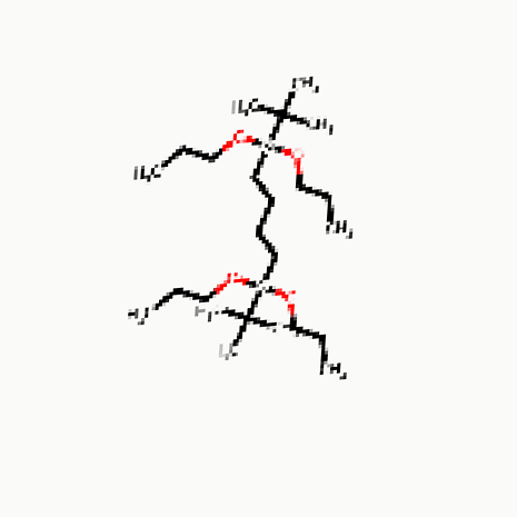 CCCO[Si](CCCC[Si](OCCC)(OCCC)C(C)(C)C)(OCCC)C(C)(C)C